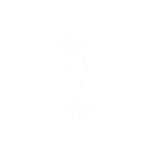 CS(=O)(=O)OCc1ccc(S(C)(=O)=O)cc1